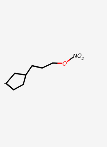 O=[N+]([O-])OCCCC1C[CH]CC1